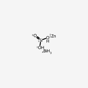 O=[Si](O)O.[BiH3].[Zn]